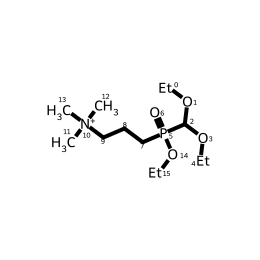 CCOC(OCC)P(=O)(CCC[N+](C)(C)C)OCC